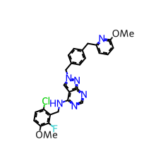 COc1cccc(Cc2ccc(Cn3cc4c(NCc5c(Cl)ccc(OC)c5F)ncnc4n3)cc2)n1